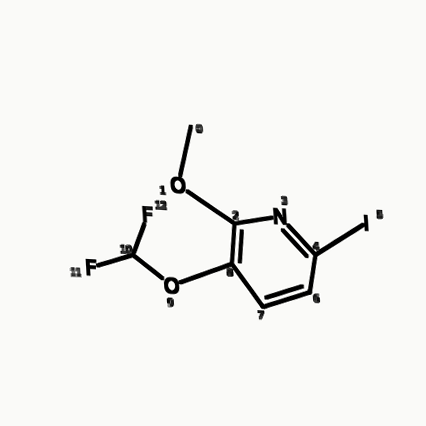 COc1nc(I)ccc1OC(F)F